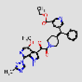 CCOC(=O)c1cncc(C(=C2CCN(C(=O)C(=O)c3c[nH]c4c(-n5cnc(C)n5)ncc(OC)c34)CC2)c2ccccc2)c1